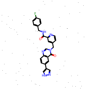 O=C(NCc1ccc(F)cc1)c1cc(Cn2cnc3ccc(-c4cn[nH]c4)cc3c2=O)ccn1